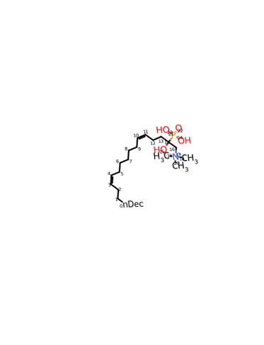 CCCCCCCCCCCC/C=C\CCCCC/C=C\CCC(O)(C[N+](C)(C)C)P(=O)(O)O